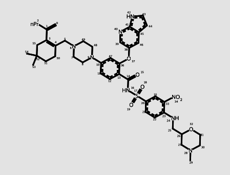 C=C(CCC)C1=C(CN2CCN(c3ccc(C(=O)NS(=O)(=O)c4ccc(NCC5CN(C)CCO5)c([N+](=O)[O-])c4)c(Oc4cnc5[nH]ccc5c4)c3)CC2)CCC(C)(C)C1